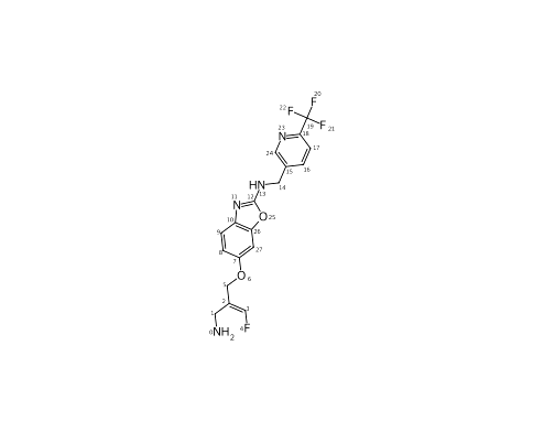 NCC(=CF)COc1ccc2nc(NCc3ccc(C(F)(F)F)nc3)oc2c1